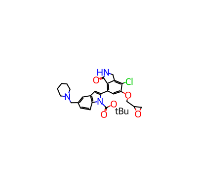 CC(C)(C)OC(=O)n1c(-c2cc(OCC3CO3)c(Cl)c3c2C(=O)NC3)cc2cc(CN3CCCCC3)ccc21